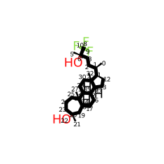 C[C@H](CC[C@](C)(O)C(F)(F)F)[C@H]1CC[C@H]2[C@@H]3CC=C4C[C@](C)(O)CCC[C@]4(C)[C@H]3CC[C@]12C